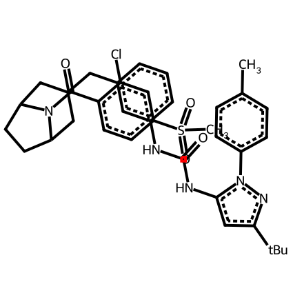 Cc1ccc(-n2nc(C(C)(C)C)cc2NC(=O)Nc2cccc(CC3CC4CCC(C3)N4C(=O)c3ccc(S(C)(=O)=O)cc3Cl)c2)cc1